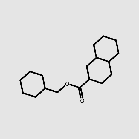 O=C(OCC1CCCCC1)C1CCC2CCCCC2C1